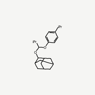 CC(C)c1ccc(OC(OC2C3CC4CC(C3)CC2C4)C(C)C)cc1